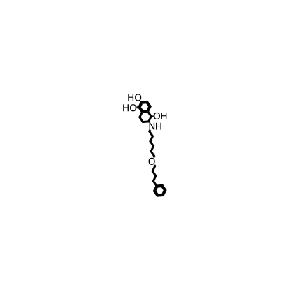 Oc1ccc2c(c1O)CC[C@@H](NCCCCCCOCCCCc1ccccc1)[C@@H]2O